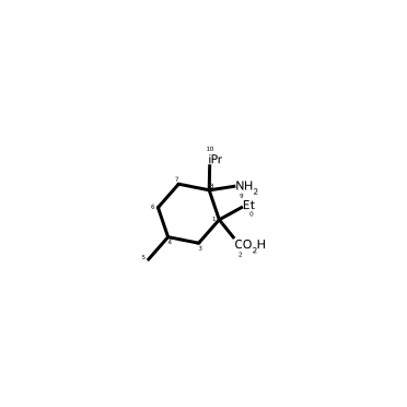 CCC1(C(=O)O)CC(C)CCC1(N)C(C)C